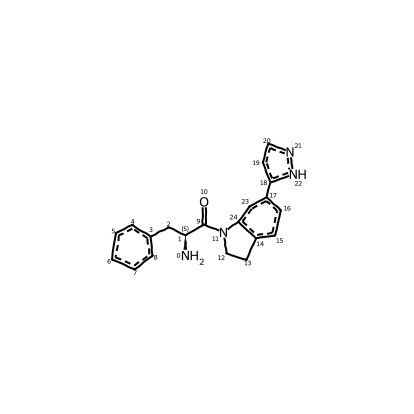 N[C@@H](Cc1ccccc1)C(=O)N1CCc2ccc(-c3ccn[nH]3)cc21